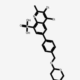 CCc1c(C)nc2c(P(=O)(O)O)cc(-c3ccc(COC4CCCCO4)cc3)cc2c1CC